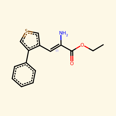 CCOC(=O)/C(N)=C/c1cscc1-c1ccccc1